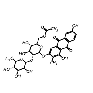 CC(=O)OC[C@H]1O[C@@H](Oc2cc3c(c(O)c2C)C(=O)c2ccc(O)cc2C3=O)[C@H](O[C@@H]2O[C@H](C)[C@@H](O)[C@H](O)[C@@H]2O)[C@@H](O)[C@@H]1O